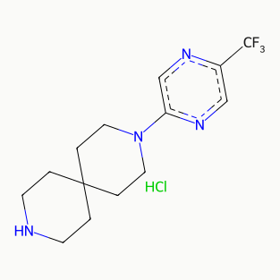 Cl.FC(F)(F)c1cnc(N2CCC3(CCNCC3)CC2)cn1